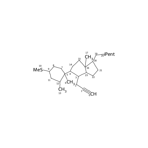 C#CCC1C(C2(C)CCC(SC)CC2C)CCC2(C)C(CC(C)CCC)CCC12